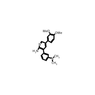 COc1ccc(-c2cnc(N)c(-c3cccc(N(C)C)c3)c2)cc1OC